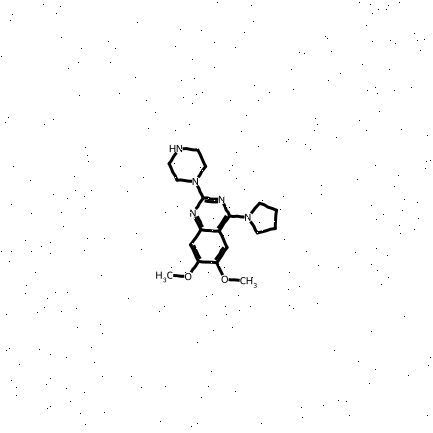 COc1cc2nc(N3CCNCC3)nc(N3CCCC3)c2cc1OC